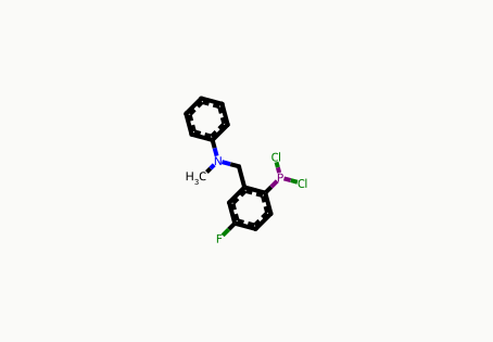 CN(Cc1cc(F)ccc1P(Cl)Cl)c1ccccc1